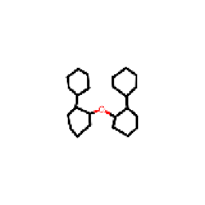 C1CCC(C2CCCCC2OC2CCCCC2C2CCCCC2)CC1